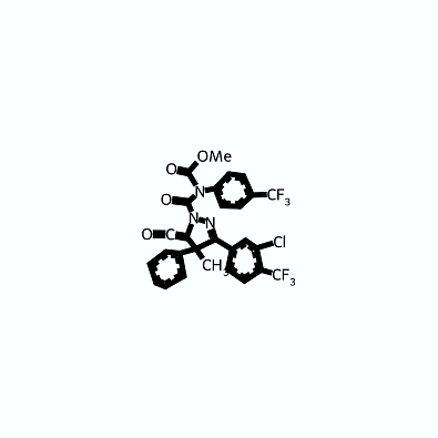 COC(=O)N(C(=O)N1N=C(c2ccc(C(F)(F)F)c(Cl)c2)C(C)(c2ccccc2)C1=C=O)c1ccc(C(F)(F)F)cc1